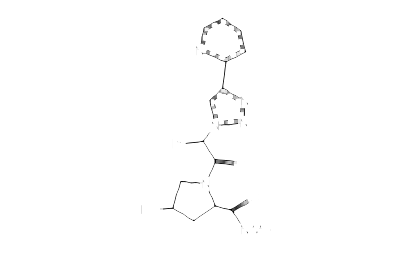 CNC(=O)C1CC(O)CN1C(=O)C(C(C)C)n1cc(-c2ccccn2)nn1